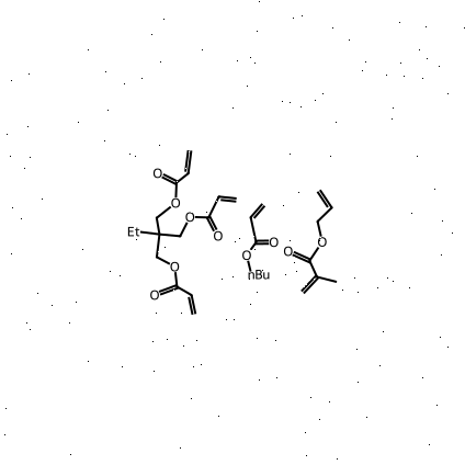 C=CC(=O)OCC(CC)(COC(=O)C=C)COC(=O)C=C.C=CC(=O)OCCCC.C=CCOC(=O)C(=C)C